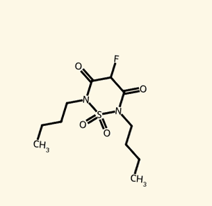 CCCCN1C(=O)C(F)C(=O)N(CCCC)S1(=O)=O